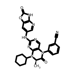 C[C@@H]1C(=O)N(c2cccc(C#N)c2)c2cnc(Nc3cnc4[nH]c(=O)oc4c3)nc2N1C1CCCCC1